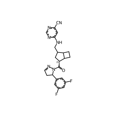 N#Cc1cc(NCC2C[C@H](C(=O)N3N=CCC3c3cc(F)cc(F)c3)C3CCC23)ncn1